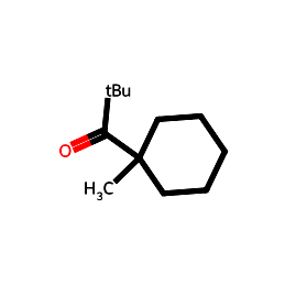 CC(C)(C)C(=O)C1(C)CCCCC1